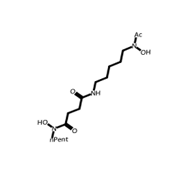 CCCCCN(O)C(=O)CCC(=O)NCCCCCN(O)C(C)=O